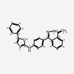 C=C1NN=C(c2ccc(Nc3ncc(-c4ccccc4)o3)cc2)c2ccccc21